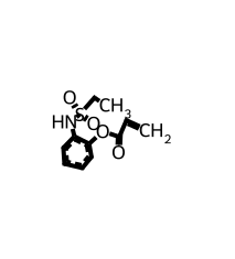 C=CC(=O)Oc1ccccc1NS(=O)(=O)CC